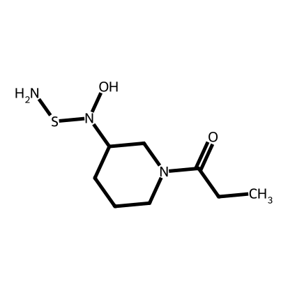 CCC(=O)N1CCCC(N(O)SN)C1